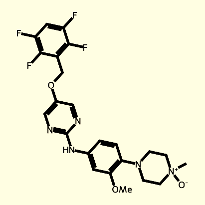 COc1cc(Nc2ncc(OCc3c(F)c(F)cc(F)c3F)cn2)ccc1N1CC[N+](C)([O-])CC1